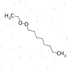 CCCCCCCCOOCC